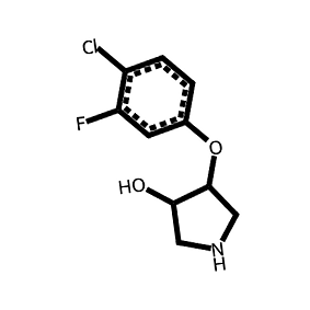 OC1CNCC1Oc1ccc(Cl)c(F)c1